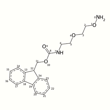 NOCCOCCNC(=O)OCC1c2ccccc2-c2ccccc21